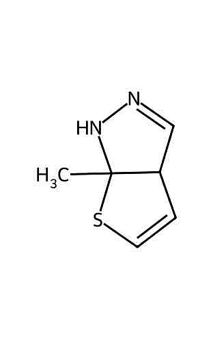 CC12NN=CC1C=CS2